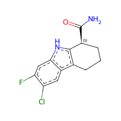 NC(=O)[C@H]1CCCc2c1[nH]c1cc(F)c(Cl)cc21